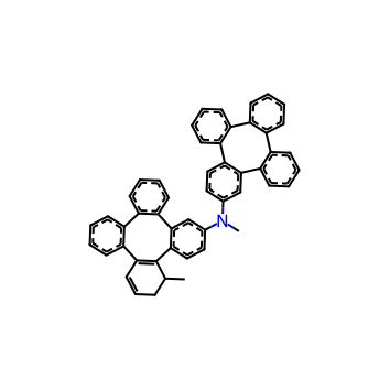 CC1CC=CC2=C1c1ccc(N(C)c3ccc4c(c3)-c3ccccc3-c3ccccc3-c3ccccc3-4)cc1-c1ccccc1-c1ccccc12